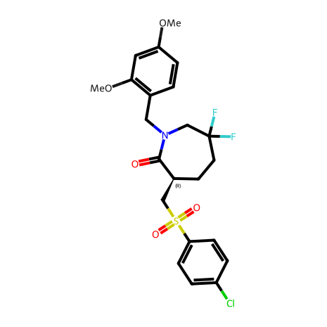 COc1ccc(CN2CC(F)(F)CC[C@@H](CS(=O)(=O)c3ccc(Cl)cc3)C2=O)c(OC)c1